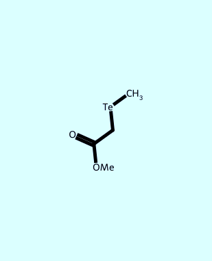 COC(=O)C[Te]C